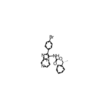 C[C@@H](OC(=O)Nc1c(-c2ccc(Br)cc2)nc2cnccn12)c1ccccc1